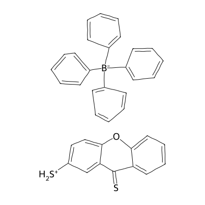 S=c1c2ccccc2oc2ccc([SH2+])cc12.c1ccc([B-](c2ccccc2)(c2ccccc2)c2ccccc2)cc1